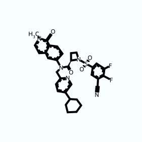 Cn1ccc2cc(N(Cc3ccc(C4CCCCC4)cn3)C(=O)[C@H]3CCN3S(=O)(=O)c3cc(F)c(F)c(C#N)c3)ccc2c1=O